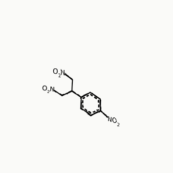 O=[N+]([O-])CC(C[N+](=O)[O-])c1ccc([N+](=O)[O-])cc1